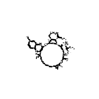 CC[C@@H]1[C@@H]2CN(C(=O)[C@H](C(C)(C)C)NC(=O)O[C@@H]3CC3CCCCC(F)(F)c3nc4ccc(Cl)cc4nc3O2)[C@@H]1C(C)=O